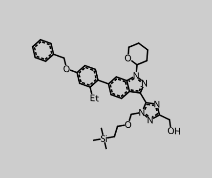 CCc1cc(OCc2ccccc2)ccc1-c1ccc2c(-c3nc(CO)nn3COCC[Si](C)(C)C)nn(C3CCCCO3)c2c1